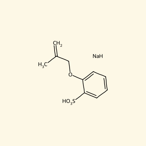 C=C(C)COc1ccccc1S(=O)(=O)O.[NaH]